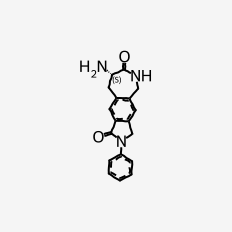 N[C@H]1Cc2cc3c(cc2CNC1=O)CN(c1ccccc1)C3=O